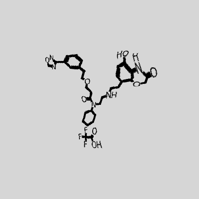 O=C(O)C(F)(F)F.O=C1COc2c(CCNCCN(C(=O)CCOCCc3cccc(-c4ncon4)c3)C3CCCCC3)ccc(O)c2N1